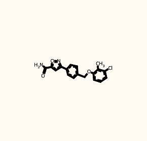 Cc1c(Cl)cccc1OCc1ccc(-c2cc(C(N)=O)on2)cc1